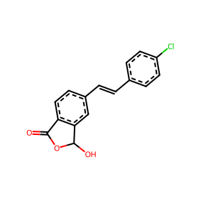 O=C1OC(O)c2cc(C=Cc3ccc(Cl)cc3)ccc21